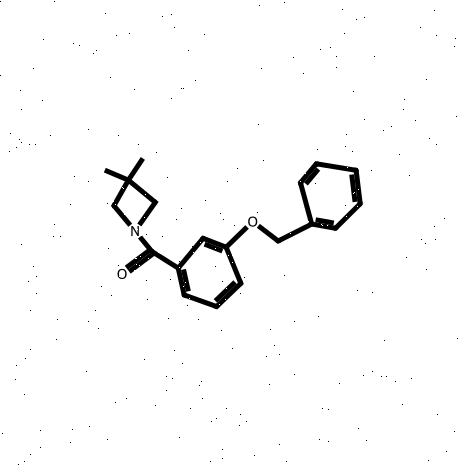 CC1(C)CN(C(=O)c2cccc(OCc3ccccc3)c2)C1